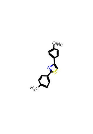 COc1ccc(-c2csc(-c3ccc(C)cc3)n2)cc1